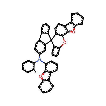 Cc1ccccc1N(c1ccc2c(c1)C1(c3ccccc3Oc3c1ccc1c3oc3ccccc31)c1ccccc1-2)c1cccc2c1oc1ccccc12